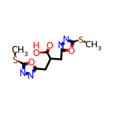 CSc1nnc(CC(Cc2nnc(SC)o2)C(=O)O)o1